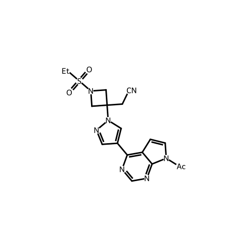 CCS(=O)(=O)N1CC(CC#N)(n2cc(-c3ncnc4c3ccn4C(C)=O)cn2)C1